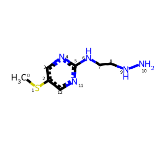 CSc1cnc(NCCNN)nc1